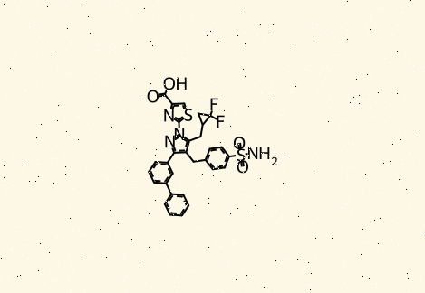 NS(=O)(=O)c1ccc(Cc2c(-c3cccc(-c4ccccc4)c3)nn(-c3nc(C(=O)O)cs3)c2CC2CC2(F)F)cc1